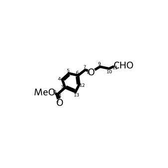 COC(=O)c1ccc(COCCC=O)cc1